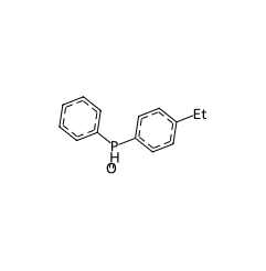 CCc1ccc([PH](=O)c2ccccc2)cc1